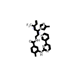 C=C/C(=C\C(=C/CNC(=O)c1ccc(C)c(Nc2nccc(-c3cccnc3)n2)c1)n1cnc(C)c1)C(F)(F)F